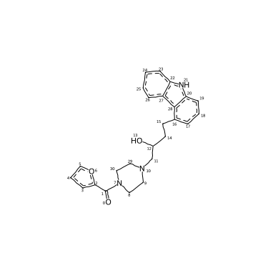 O=C(c1ccco1)N1CCN(CC(O)CCc2cccc3[nH]c4ccccc4c23)CC1